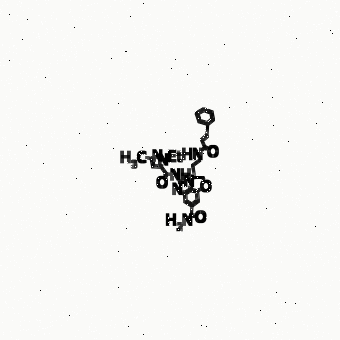 CCn1nc(C)cc1C(=O)Nc1nc2cc(C(N)=O)cc3c2n1[C@@H](CCNC(=O)C=Cc1ccccc1)CO3